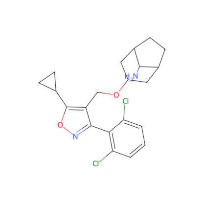 NC1C2CCC1CC(OCc1c(-c3c(Cl)cccc3Cl)noc1C1CC1)C2